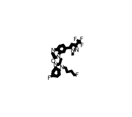 Cn1nc(C(F)(F)F)cc1-c1ccc2ncc(=O)n(Cc3nc4cc(F)ccc4n3CCCCF)c2c1